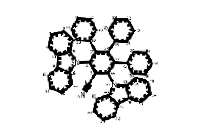 N#Cc1c(-n2c3ccccc3c3ccccc32)c(-c2ccccc2)c(-c2ccccc2)c(-c2ccccc2)c1-n1c2ccccc2c2ccccc21